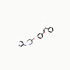 O=c1cc(-c2ccc(OCC3CCN(Cc4ccncc4)CC3)cc2)oc2ccccc12